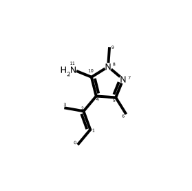 CC=C(C)c1c(C)nn(C)c1N